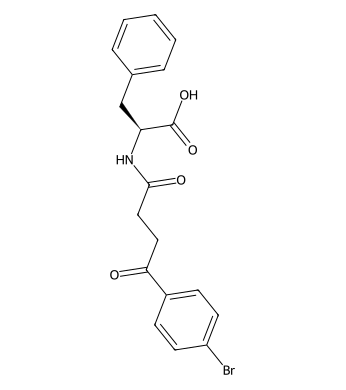 O=C(CCC(=O)c1ccc(Br)cc1)N[C@@H](Cc1ccccc1)C(=O)O